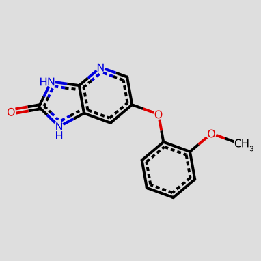 COc1ccccc1Oc1cnc2[nH]c(=O)[nH]c2c1